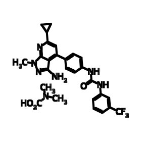 CN(C)C(=O)O.Cn1nc(N)c2c(-c3ccc(NC(=O)Nc4cccc(C(F)(F)F)c4)cc3)cc(C3CC3)nc21